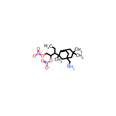 CCC(C(CO[N+](=O)[O-])O[N+](=O)[O-])C1(C)C=C2CC(C)(C)CC(CN)(C2)C1